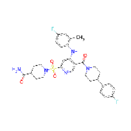 Cc1cc(F)ccc1Nc1cc(S(=O)(=O)N2CCC(C(N)=O)CC2)ncc1C(=O)N1CCC(c2ccc(F)cc2)CC1